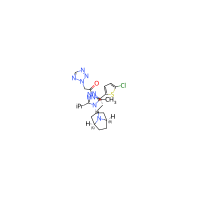 Cc1nnc(C(C)C)n1[C@@H]1C[C@H]2CC[C@@H](C1)N2CC[C@H](NC(=O)Cn1ncnn1)c1ccc(Cl)s1